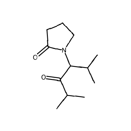 CC(C)C(=O)C(C(C)C)N1CCCC1=O